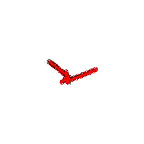 COCCOCCOCCOCCOCCOCCOCCOCCOCCOCCOCCOc1cc(CC2(Cc3cc(OCCOCCOC)cc(OCCOCCOC)c3)c3cc(C)ccc3-c3ccc(C)cc32)cc(OCCOCCOCCOCCOCCOCCOCCOCCOCCOCCOCCOC)c1